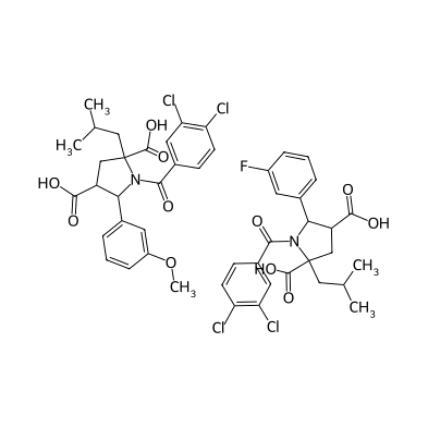 CC(C)CC1(C(=O)O)CC(C(=O)O)C(c2cccc(F)c2)N1C(=O)c1ccc(Cl)c(Cl)c1.COc1cccc(C2C(C(=O)O)CC(CC(C)C)(C(=O)O)N2C(=O)c2ccc(Cl)c(Cl)c2)c1